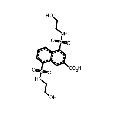 O=C(O)c1cc(S(=O)(=O)NCCO)c2cccc(S(=O)(=O)NCCO)c2c1